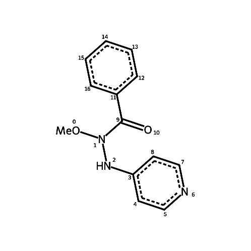 CON(Nc1ccncc1)C(=O)c1ccccc1